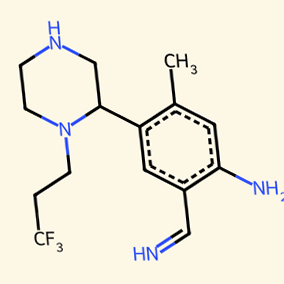 Cc1cc(N)c(C=N)cc1C1CNCCN1CCC(F)(F)F